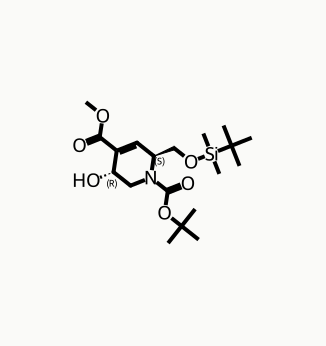 COC(=O)C1=C[C@@H](CO[Si](C)(C)C(C)(C)C)N(C(=O)OC(C)(C)C)C[C@@H]1O